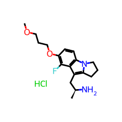 COCCCOc1ccc2c(c1F)c(C[C@H](C)N)c1n2CCC1.Cl